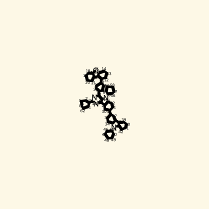 c1ccc(-c2nc(-c3ccc(-c4cccc5oc6ccccc6c45)cc3)c3c(n2)c2cc(-c4ccc5c(c4)c4ccccc4n5-c4ccccc4)ccc2n3-c2ccccc2)cc1